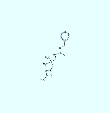 CC1OC(CC(C)(N)CNC(=O)OCc2ccccc2)O1